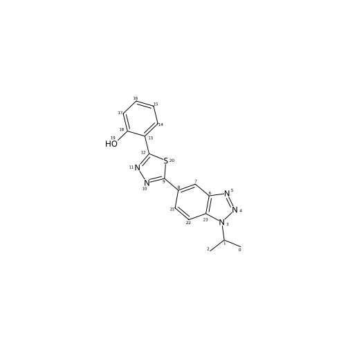 CC(C)n1nnc2cc(-c3nnc(-c4ccccc4O)s3)ccc21